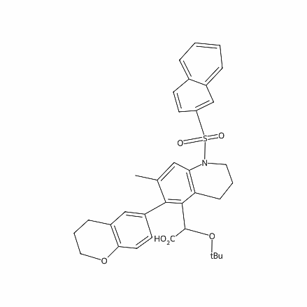 Cc1cc2c(c(C(OC(C)(C)C)C(=O)O)c1-c1ccc3c(c1)CCCO3)CCCN2S(=O)(=O)c1ccc2ccccc2c1